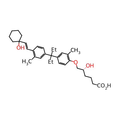 CCC(CC)(c1ccc(C=CC2(O)CCCCC2)c(C)c1)c1ccc(OC[C@H](O)CCCC(=O)O)c(C)c1